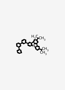 CC(C)c1ccc2c(c1)c1cc(C(C)C)cc3c4cc(-c5cccc(-c6cccc(-c7ccccc7)c6)c5)ccc4n2c31